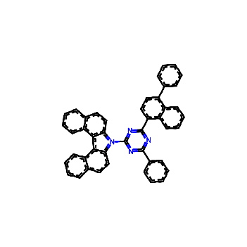 c1ccc(-c2nc(-c3ccc(-c4ccccc4)c4ccccc34)nc(-n3c4ccc5ccccc5c4c4c5ccccc5ccc43)n2)cc1